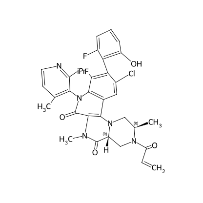 C=CC(=O)N1C[C@@H]2C(=O)N(C)c3c(c4cc(Cl)c(-c5c(O)cccc5F)c(F)c4n(-c4c(C)ccnc4C(C)C)c3=O)N2C[C@H]1C